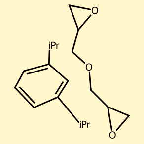 C(OCC1CO1)C1CO1.CC(C)c1cccc(C(C)C)c1